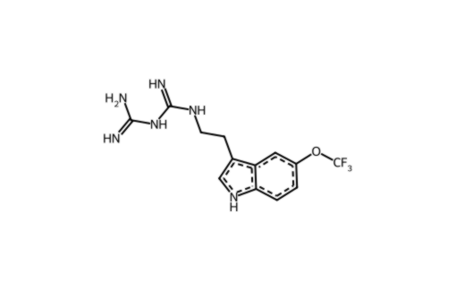 N=C(N)NC(=N)NCCc1c[nH]c2ccc(OC(F)(F)F)cc12